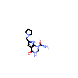 NC(=O)N1[CH]NC(=O)c2cc(CN3CCCC3)[nH]c21